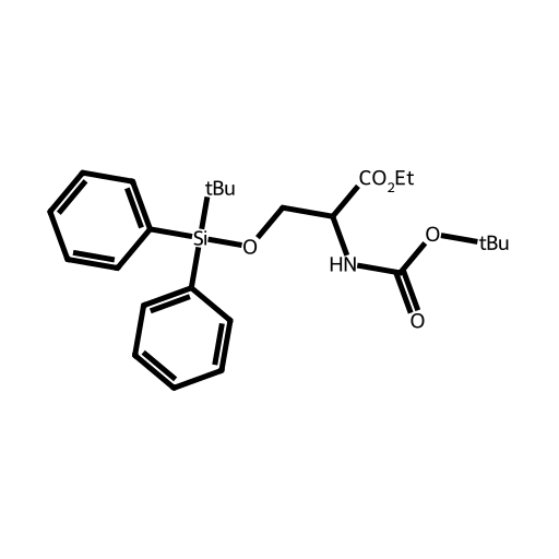 CCOC(=O)C(CO[Si](c1ccccc1)(c1ccccc1)C(C)(C)C)NC(=O)OC(C)(C)C